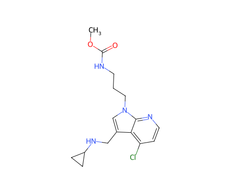 COC(=O)NCCCn1cc(CNC2CC2)c2c(Cl)ccnc21